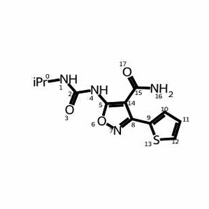 CC(C)NC(=O)Nc1onc(-c2cccs2)c1C(N)=O